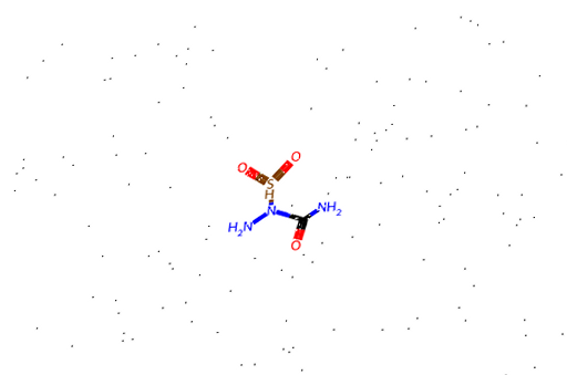 NC(=O)N(N)[SH](=O)=O